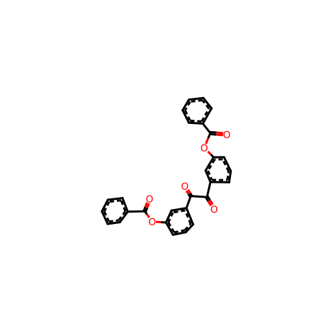 O=C(Oc1cccc(C(=O)C(=O)c2cccc(OC(=O)c3ccccc3)c2)c1)c1ccccc1